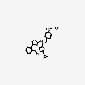 O=S(=O)(O)Nc1ccc(C[C@H](Nc2nc(-c3ccccc3CO)cs2)c2csc(C3CC3)n2)cc1